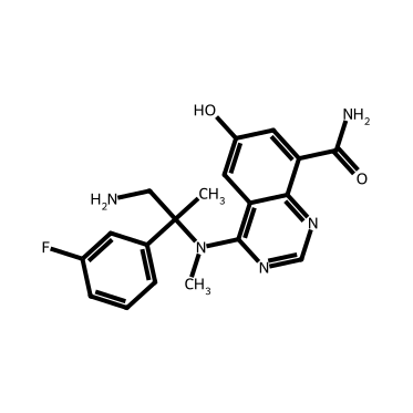 CN(c1ncnc2c(C(N)=O)cc(O)cc12)C(C)(CN)c1cccc(F)c1